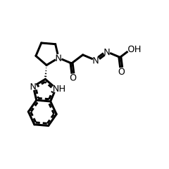 O=C(O)N=NCC(=O)N1CCC[C@H]1c1nc2ccccc2[nH]1